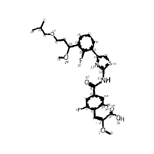 CO/C(=C/c1c(F)cc(C(=O)Nc2nc(-c3cccc(C(CCOCC(C)C)OC)c3F)cs2)cc1F)C(=O)O